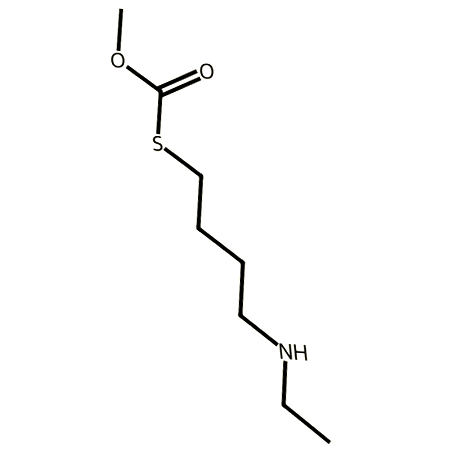 CCNCCCCSC(=O)OC